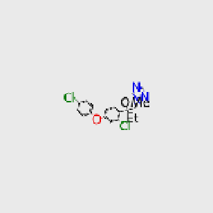 CCC(Cn1cncn1)(OC)c1ccc(Oc2ccc(Cl)cc2)cc1Cl